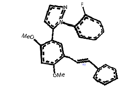 COc1cc(OC)c(-c2ccnn2-c2ccccc2F)cc1/C=C/c1ccccc1